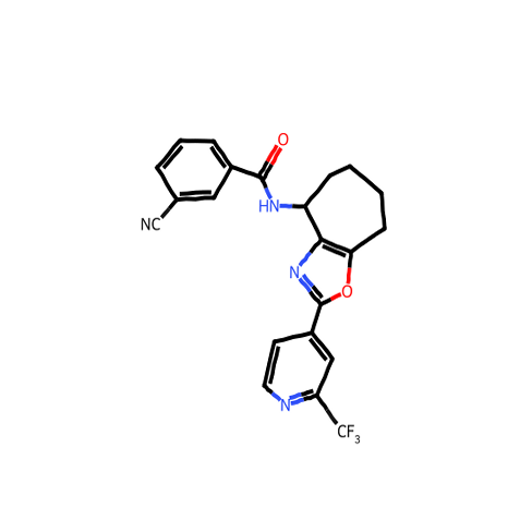 N#Cc1cccc(C(=O)NC2CCCCc3oc(-c4ccnc(C(F)(F)F)c4)nc32)c1